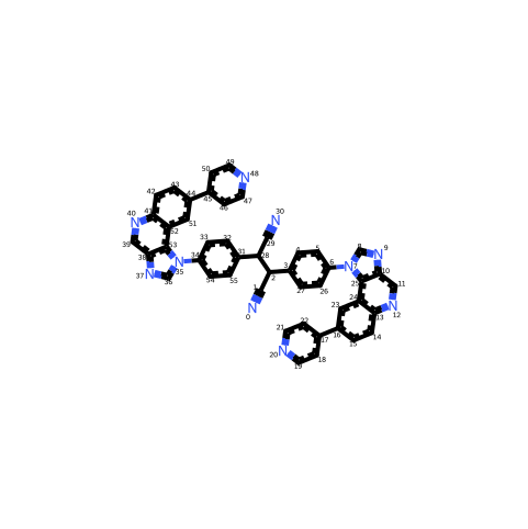 N#CC(c1ccc(-n2cnc3cnc4ccc(-c5ccncc5)cc4c32)cc1)C(C#N)c1ccc(-n2cnc3cnc4ccc(-c5ccncc5)cc4c32)cc1